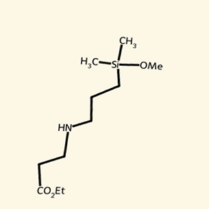 CCOC(=O)CCNCCC[Si](C)(C)OC